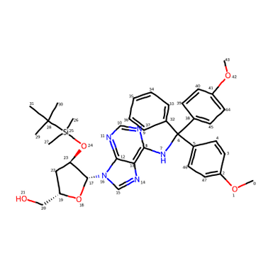 COc1ccc(C(Nc2ncnc3c2ncn3[C@@H]2O[C@H](CO)C[C@H]2O[Si](C)(C)C(C)(C)C)(c2ccccc2)c2ccc(OC)cc2)cc1